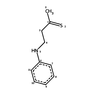 CC(=S)CCNc1ccccc1